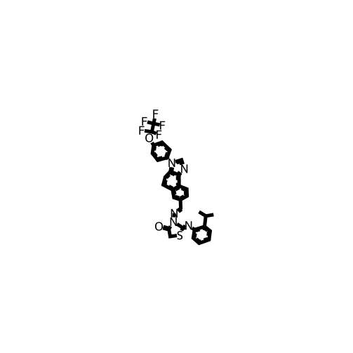 CC(C)c1ccccc1N=C1SCC(=O)N1N=Cc1ccc2c(ccc3c2ncn3-c2ccc(OC(F)(F)C(F)(F)F)cc2)c1